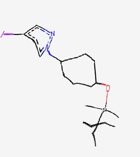 CC(C)(C)[Si](C)(C)OC1CCC(n2cc(I)cn2)CC1